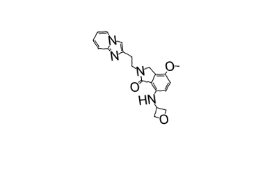 COc1ccc(NC2COC2)c2c1CN(CCc1cn3ccccc3n1)C2=O